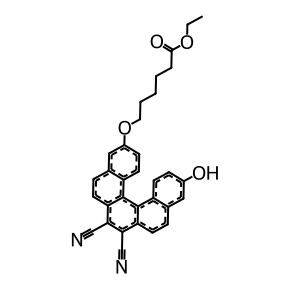 CCOC(=O)CCCCCOc1ccc2c(ccc3c(C#N)c(C#N)c4ccc5cc(O)ccc5c4c32)c1